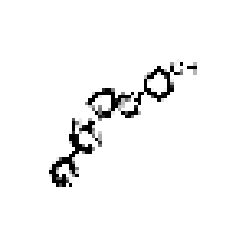 O[C@H]1CC[C@@H](N2CC[C@]3(CCCN(c4ncc(-c5cccnc5)cn4)C3)C2)CC1